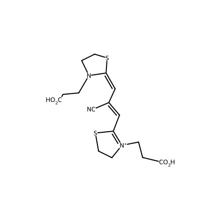 N#CC(=C\C1=[N+](CCC(=O)O)CCS1)/C=C1/SCCN1CCC(=O)O